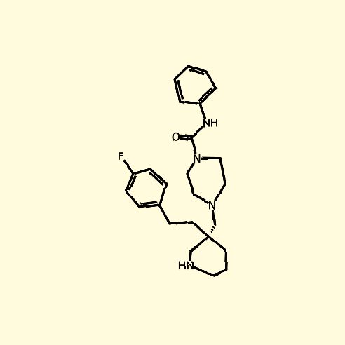 O=C(Nc1ccccc1)N1CCN(C[C@]2(CCc3ccc(F)cc3)CCCNC2)CC1